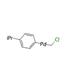 CC(C)c1cc[c]([Pd][CH2]Cl)cc1